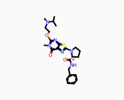 CC(C)N(C)CCOc1nc2sc(N3CCC[C@@H]3C(=O)NCc3ccccc3)nc2c(=O)n1C